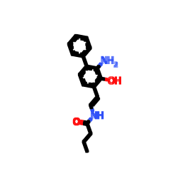 CCCC(=O)NC=Cc1ccc(-c2ccccc2)c(N)c1O